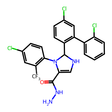 NNC(=O)C1=CNC(c2ccc(Cl)cc2-c2ccccc2Cl)N1c1ccc(Cl)cc1C(F)(F)F